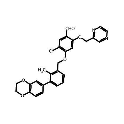 Cc1c(COc2cc(OCc3cnccn3)c(C=O)cc2Cl)cccc1-c1ccc2c(c1)OCCO2